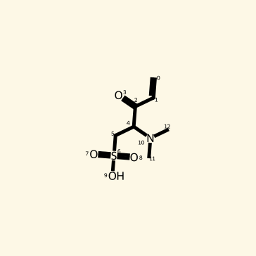 C=CC(=O)C(CS(=O)(=O)O)N(C)C